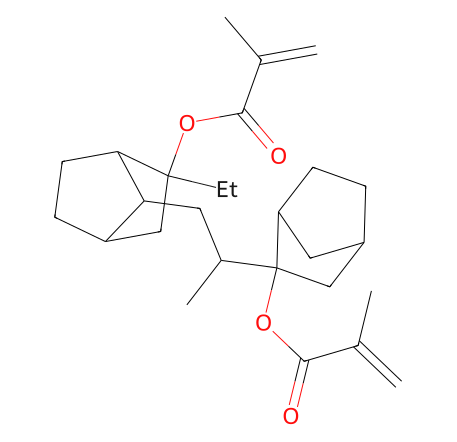 C=C(C)C(=O)OC1(CC)CC2CCC1C2CC(C)C1(OC(=O)C(=C)C)CC2CCC1C2